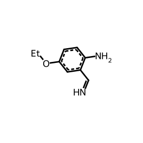 CCOc1ccc(N)c(C=N)c1